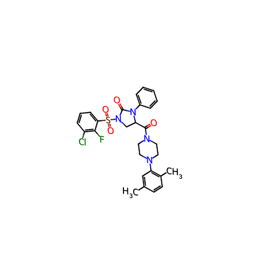 Cc1ccc(C)c(N2CCN(C(=O)C3CN(S(=O)(=O)c4cccc(Cl)c4F)C(=O)N3c3ccccc3)CC2)c1